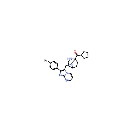 CC(C)c1ccc(-c2nc3ncccn3c2CN2CC3(C(=O)C4CCCC4)CCC2CCN3)cc1